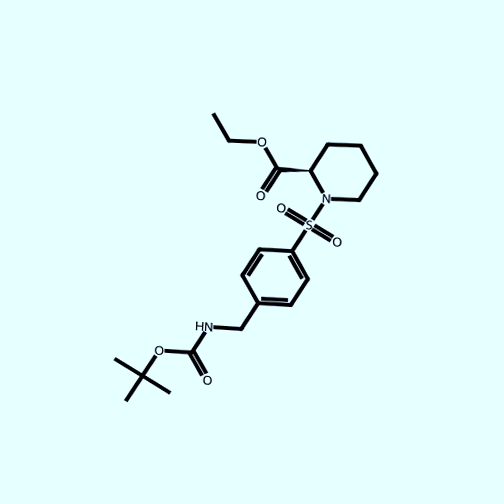 CCOC(=O)[C@H]1CCCCN1S(=O)(=O)c1ccc(CNC(=O)OC(C)(C)C)cc1